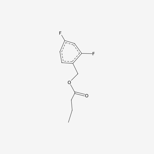 CCCC(=O)OCc1ccc(F)cc1F